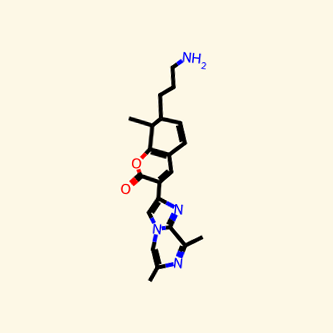 Cc1cn2cc(-c3cc4c(oc3=O)C(C)C(CCCN)C=C4)nc2c(C)n1